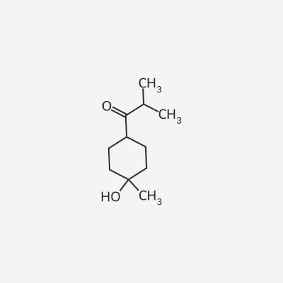 CC(C)C(=O)C1CCC(C)(O)CC1